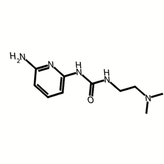 CN(C)CCNC(=O)Nc1cccc(N)n1